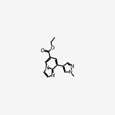 CCOC(=O)c1cc(-c2cnn(C)c2)c2nccn2c1